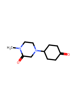 CN1CCN(C2CCC(=O)CC2)CC1=O